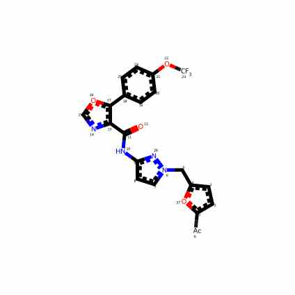 CC(=O)c1ccc(Cn2ccc(NC(=O)c3ncoc3-c3ccc(OC(F)(F)F)cc3)n2)o1